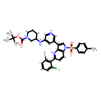 Cc1ccc(S(=O)(=O)n2cc(-c3cncc(NC4CCCN(C(=O)OC(C)(C)C)C4)c3)c3nc(-c4c(F)cccc4F)ccc32)cc1